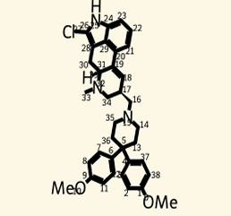 COc1ccc(C2(c3ccc(OC)cc3)CCN(C[C@@H]3C=C4c5cccc6[nH]c(Cl)c(c56)C[C@H]4N(C)C3)CC2)cc1